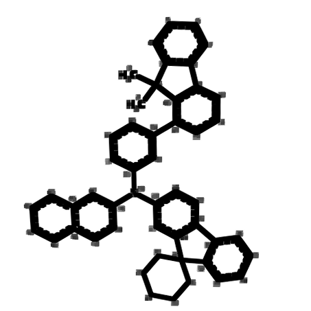 CC1(C)c2ccccc2-c2cccc(-c3cccc(N(c4ccc5c(c4)C4(CCCCC4)c4ccccc4-5)c4ccc5ccccc5c4)c3)c21